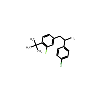 CC(Cc1ccc(C(C)(C)C)c(F)c1)c1ccc(Cl)cc1